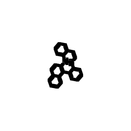 C1=Cc2ccccc2N2B1c1ccccc1-c1c2ccc2ccccc12